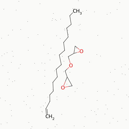 C(OCC1CO1)C1CO1.C=CCCCCCCCCCCCCCCC